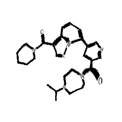 CC(C)N1CCN(C(=O)c2cncc(-c3cccc4c(C(=O)N5CCCCC5)cnn34)c2)CC1